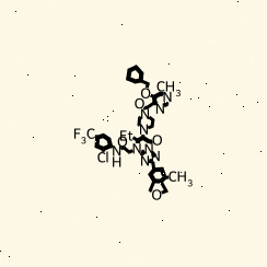 CCc1c(N2CCN(C(=O)c3ncnc(C)c3OCc3ccccc3)CC2)c(=O)n2nc(-c3cc(C)c4c(c3)COC4)nc2n1CC(=O)Nc1ccc(C(F)(F)F)cc1Cl